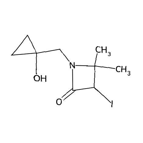 CC1(C)C(I)C(=O)N1CC1(O)CC1